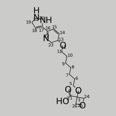 O=C(O)C1(OCCCCCCCOC2C=CC(C3=CCNN3)=NC2)COC1